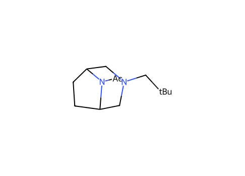 CC(=O)N1C2CCC1CN(CC(C)(C)C)C2